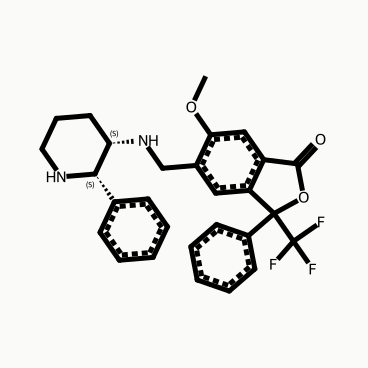 COc1cc2c(cc1CN[C@H]1CCCN[C@H]1c1ccccc1)C(c1ccccc1)(C(F)(F)F)OC2=O